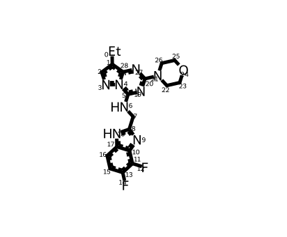 CCc1cnn2c(NCc3nc4c(F)c(F)ccc4[nH]3)nc(N3CCOCC3)nc12